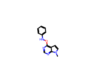 Cn1ccc2c(ONc3ccccc3)ncnc21